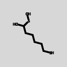 OSC(O)CCCCCS